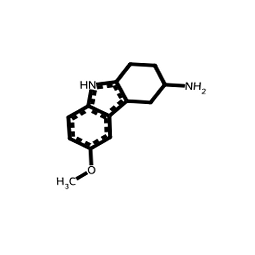 COc1ccc2[nH]c3c(c2c1)CC(N)CC3